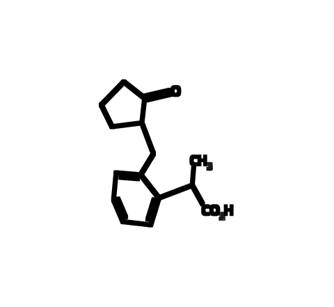 CC(C(=O)O)c1ccccc1CC1CCCC1=O